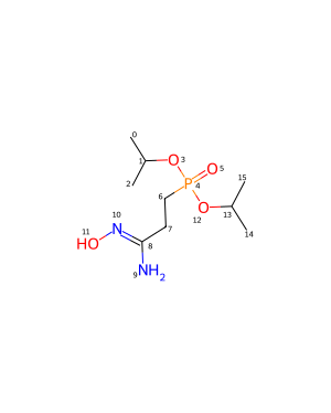 CC(C)OP(=O)(CCC(N)=NO)OC(C)C